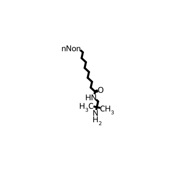 CCCCCCCCCCCCCCCCCC(=O)NCC(C)(C)N